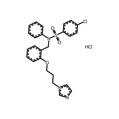 Cl.O=S(=O)(c1ccc(Cl)cc1)N(Cc1ccccc1OCCCn1ccnc1)c1ccccc1